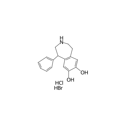 Br.Cl.Oc1cc2c(cc1O)C(c1ccccc1)CNCC2